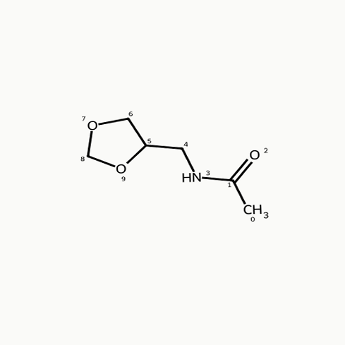 CC(=O)NCC1COCO1